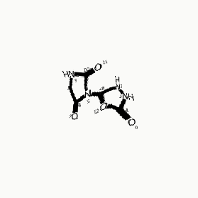 O=C1NNC(N2C(=O)[CH]NC2=O)O1